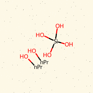 CCCO.CCCO.O[Si](O)(O)O